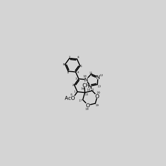 CC(=O)OC(C=C(c1ccccc1)n1cncn1)C1(C)COCOC1